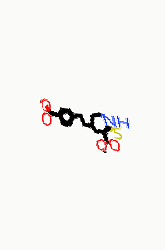 COC(=O)c1ccc(CCC2CCNC(=S)C(C(=O)OC)C2)cc1